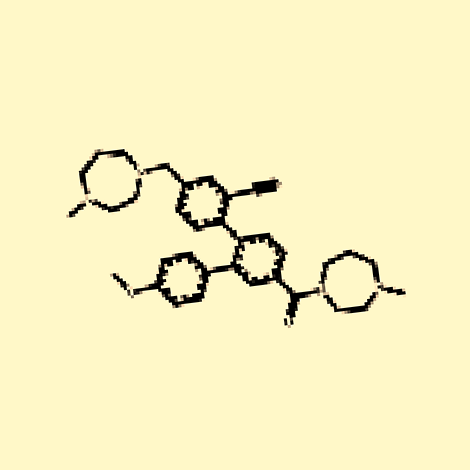 COc1ccc(-c2cc(C(=O)N3CCCN(C)CC3)ccc2-c2ccc(CN3CCCN(C)CC3)cc2C#N)cc1